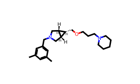 Cc1cc(C)cc(CN2C[C@@H]3[C@H](COCCCN4CCCCC4)[C@@H]3C2)c1